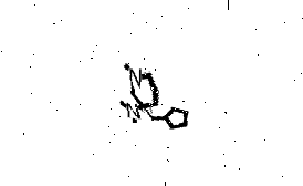 CN1CCC[C@](CC2CCCC2)(N(C)C)C1